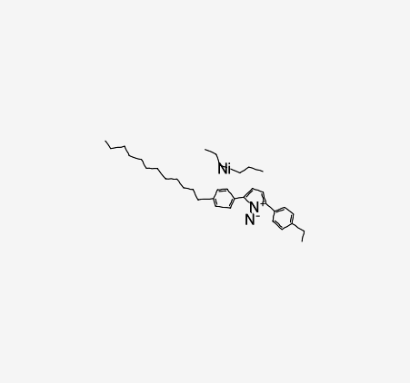 CCCCCCCCCCCCc1ccc(C2=CC=C(c3ccc(CC)cc3)[N+]2=[N-])cc1.CC[CH2][Ni][CH2]CC